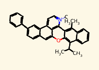 Cc1c2c(c(C(C)C)c3ccccc13)Oc1cc3ccc(-c4ccccc4)cc3c3cc[n+](C)c-2c13